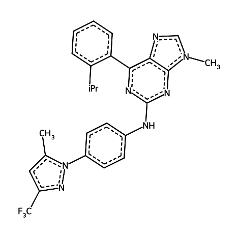 Cc1cc(C(F)(F)F)nn1-c1ccc(Nc2nc(-c3ccccc3C(C)C)c3ncn(C)c3n2)cc1